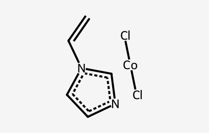 C=Cn1ccnc1.[Cl][Co][Cl]